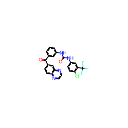 O=C(Nc1cccc(C(=O)c2ccc3nccnc3c2)c1)Nc1ccc(Cl)c(C(F)(F)F)c1